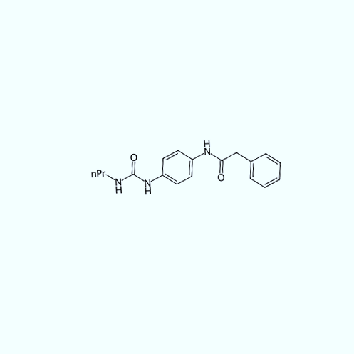 CCCNC(=O)Nc1ccc(NC(=O)Cc2ccccc2)cc1